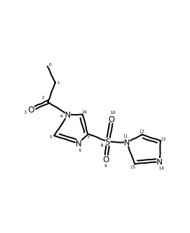 CCC(=O)n1cnc(S(=O)(=O)n2ccnc2)c1